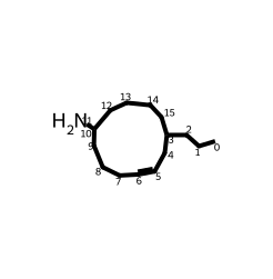 CCCC1C/C=C\CCCC(N)CCCC1